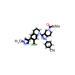 CNC(=O)N1CCc2c(c(N3CCCc4cc(-c5cnn(C)c5)c(C(F)F)cc43)nn2[C@H]2CC[C@H](C#N)CC2)C1